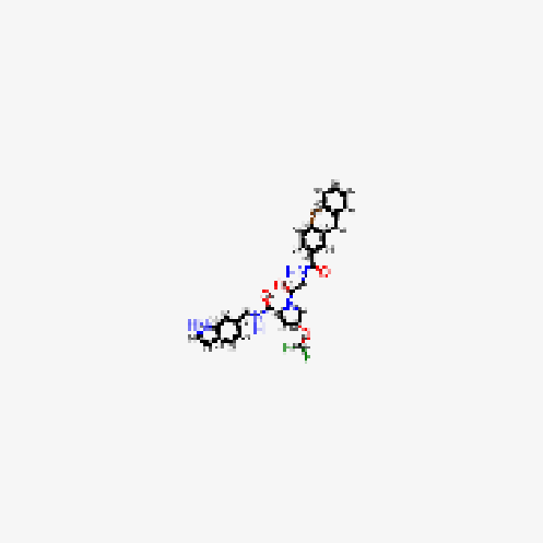 O=C(NCC(=O)N1C[C@H](OC(F)F)C[C@H]1C(=O)NCc1ccc2cc[nH]c2c1)c1ccc2c(c1)Cc1ccccc1S2